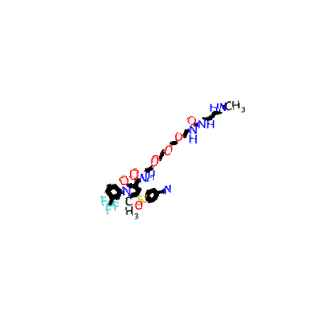 CNCCCCNC(=O)NCCOCCOCCOCCNC(=O)c1cc([S+]([O-])c2ccc(C#N)cc2)c(C)n(-c2cccc(C(F)(F)F)c2)c1=O